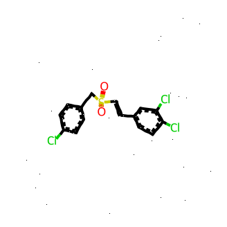 O=S(=O)(/C=C/c1ccc(Cl)c(Cl)c1)Cc1ccc(Cl)cc1